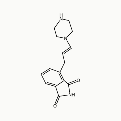 O=C1NC(=O)c2c(CC=CN3CCNCC3)cccc21